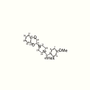 CCCCCCC(c1ccc(OC)cc1)N1CCN(C2COc3ccccc3O2)CC1